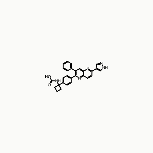 O=C(O)NC1(c2ccc(-c3nc4ccc(-c5cn[nH]c5)nc4cc3-c3ccccc3)cc2)CCC1